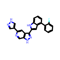 Fc1ccccc1-c1cccc2[nH]c(-c3n[nH]c4cnc(-c5cn[nH]c5)cc34)cc12